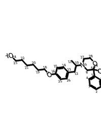 Cc1cccc(C2(O)CN(C(C)Cc3ccc(OCCCCCCO)cc3)CCO2)c1